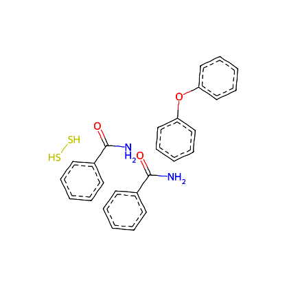 NC(=O)c1ccccc1.NC(=O)c1ccccc1.SS.c1ccc(Oc2ccccc2)cc1